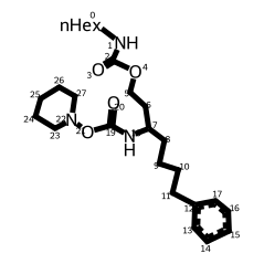 CCCCCCNC(=O)OCCC(CCCCc1ccccc1)NC(=O)ON1CCCCC1